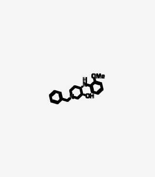 COc1ccccc1N[C@H]1CCN(Cc2ccccc2)C[C@@H]1O